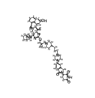 C#Cc1cccc2cc(O)cc(-c3ncc4c(N5CC6CCC(C5)N6)nc(OCC5(CN6CCC(CCCN7CCN(c8ccc9c(c8)CN([C@H]8CCC(=O)NC8=O)C9=O)CC7)CC6)CC5)nc4c3F)c12